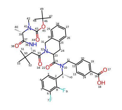 C[C@H](c1cccc(F)c1F)N(Cc1ccc(C(=O)O)cc1)C(=O)C1Cc2ccccc2CN1C(=O)[C@@H](NC(=O)[C@H](C)N(C)C(=O)OC(C)(C)C)C(C)(C)C